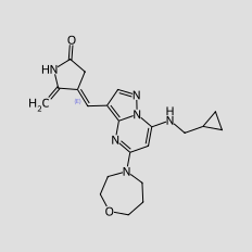 C=C1NC(=O)C/C1=C\c1cnn2c(NCC3CC3)cc(N3CCCOCC3)nc12